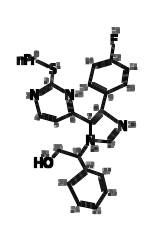 CCCSc1nccc(-c2c(-c3ccc(F)cc3)ncn2C(CO)c2ccccc2)n1